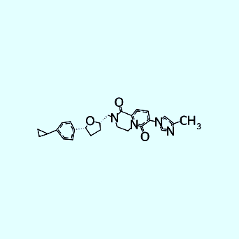 Cc1cn(-c2ccc3n(c2=O)CCN(C[C@@H]2CC[C@H](c4ccc(C5CC5)cc4)O2)C3=O)cn1